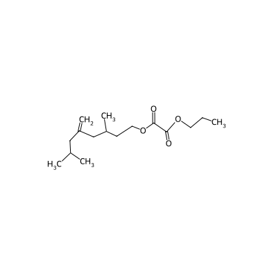 C=C(CC(C)C)CC(C)CCOC(=O)C(=O)OCCC